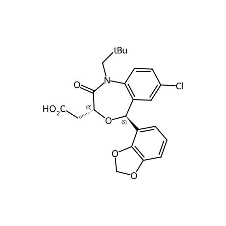 CC(C)(C)CN1C(=O)[C@@H](CC(=O)O)O[C@H](c2cccc3c2OCO3)c2cc(Cl)ccc21